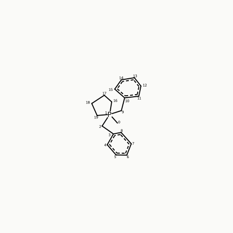 CP1(Cc2ccccc2)(Cc2ccccc2)CCCC1